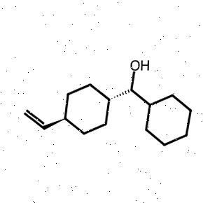 C=C[C@H]1CC[C@H](C(O)C2CCCCC2)CC1